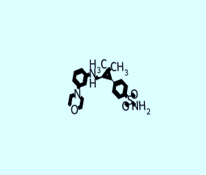 CC1(C)[C@H](CNc2cccc(N3CCOCC3)c2)[C@H]1c1ccc(S(N)(=O)=O)cc1